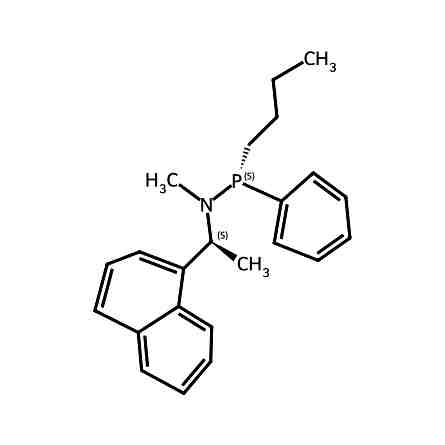 CCCC[P@](c1ccccc1)N(C)[C@@H](C)c1cccc2ccccc12